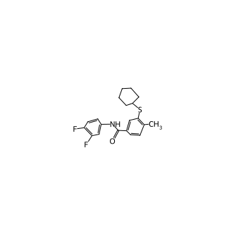 Cc1ccc(C(=O)Nc2ccc(F)c(F)c2)cc1SC1CCCCC1